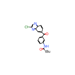 CC(C)(C)C(=O)Nc1cccc(C(=O)c2ccc3ncc(Cl)nc3c2)c1